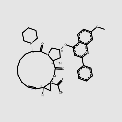 COc1ccc2c(O[C@@H]3C[C@H]4C(=O)N[C@]5(C(=O)O)C[C@H]5/C=C\CCCCC[C@H](N5CCCCC5)C(=O)N4C3)cc(-c3ccccc3)nc2c1